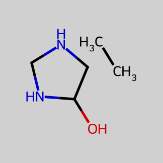 CC.OC1CNCN1